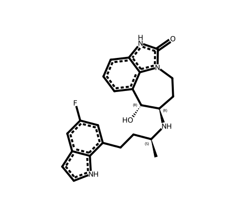 C[C@@H](CCc1cc(F)cc2cc[nH]c12)N[C@@H]1CCn2c(=O)[nH]c3cccc(c32)[C@H]1O